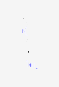 CC[N]CCCCN